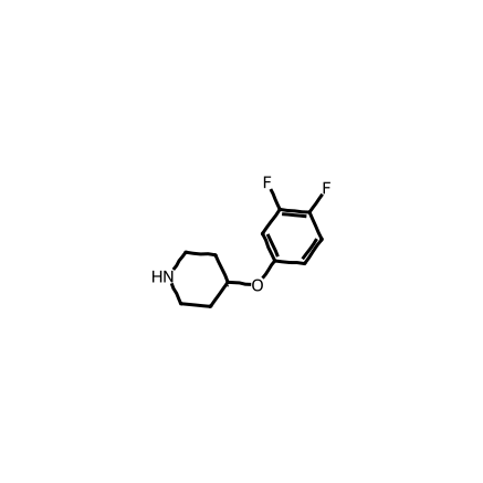 Fc1ccc(O[C]2CCNCC2)cc1F